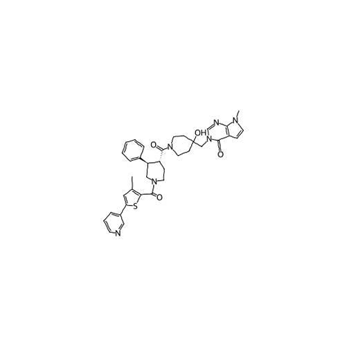 Cc1cc(-c2cccnc2)sc1C(=O)N1CC[C@@H](C(=O)N2CCC(O)(Cn3cnc4c(ccn4C)c3=O)CC2)[C@H](c2ccccc2)C1